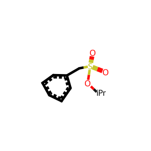 CC(C)OS(=O)(=O)Cc1ccccc1